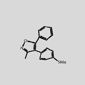 CSc1ccc(-c2c(C)noc2-c2ccccc2)cc1